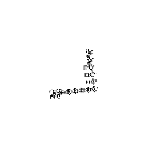 CC[O+](C)C.CC[O+](C)C.CC[O+](C)C.CC[O+](C)C.CC[O+](C)C.CC[O+](C)C.CC[O+](C)C.CC[O+](C)C.[O-]B([O-])F.[O-]B([O-])F.[O-]B([O-])F.[O-]B([O-])F